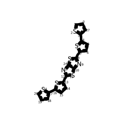 c1csc(-c2ccc(-c3nc4sc(-c5ccc(-c6cccs6)s5)nc4s3)s2)c1